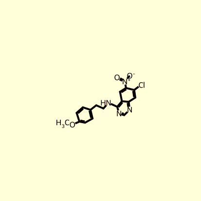 COc1ccc(CCNc2ncnc3cc(Cl)c([N+](=O)[O-])cc23)cc1